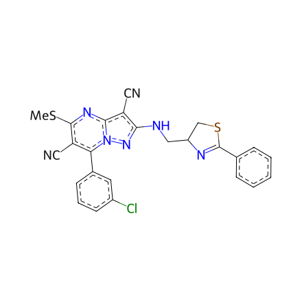 CSc1nc2c(C#N)c(NCC3CSC(c4ccccc4)=N3)nn2c(-c2cccc(Cl)c2)c1C#N